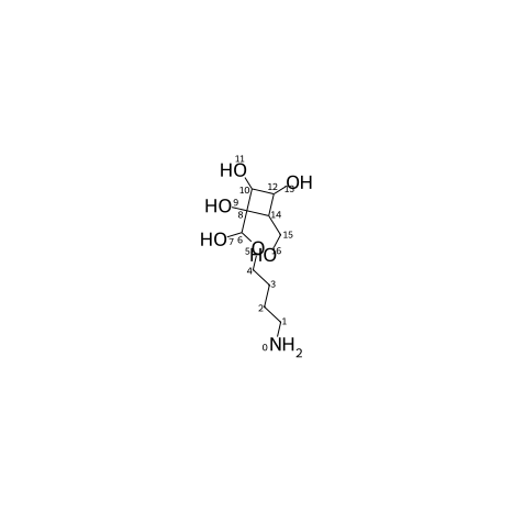 NCCCCOC(O)C1(O)C(O)C(O)C1CO